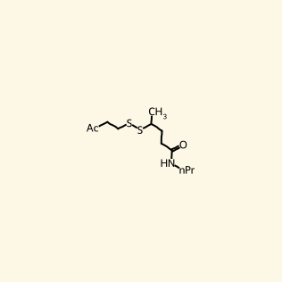 CCCNC(=O)CCC(C)SSCCC(C)=O